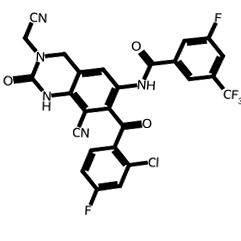 N#CCN1Cc2cc(NC(=O)c3cc(F)cc(C(F)(F)F)c3)c(C(=O)c3ccc(F)cc3Cl)c(C#N)c2NC1=O